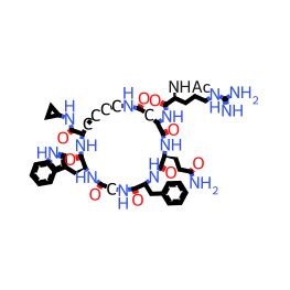 CC(=O)N[C@@H](CCCNC(=N)N)C(=O)NC1CC(=O)NCCCCC(C(=O)NC2CC2)NC(=O)[C@H](Cc2c[nH]c3ccccc23)NC(=O)CNC(=O)C(Cc2ccccc2)NC(=O)[C@H](CCC(N)=O)NC1=O